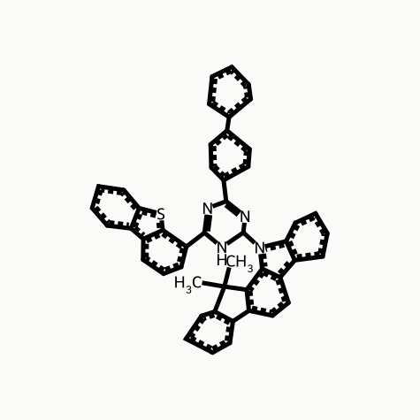 CC1(C)c2ccccc2-c2ccc3c4ccccc4n(C4N=C(c5ccc(-c6ccccc6)cc5)N=C(c5cccc6c5sc5ccccc56)N4)c3c21